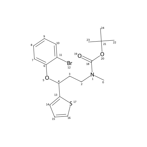 CN(CCC(Oc1ccccc1Br)c1cccs1)C(=O)OC(C)(C)C